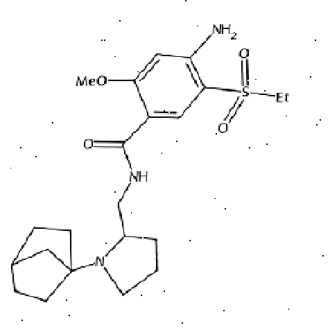 CCS(=O)(=O)c1cc(C(=O)NCC2CCCN2C23CCC(CC2)C3)c(OC)cc1N